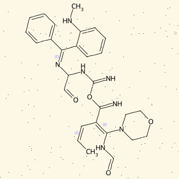 C/C=C\C(C(=N)OC(=N)NC(C=O)/N=C(/c1ccccc1)c1ccccc1NC)=C(/NC=O)N1CCOCC1